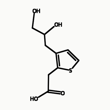 O=C(O)Cc1sccc1CC(O)CO